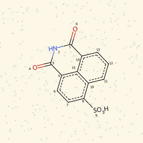 O=C1NC(=O)c2ccc(S(=O)(=O)O)c3cccc1c23